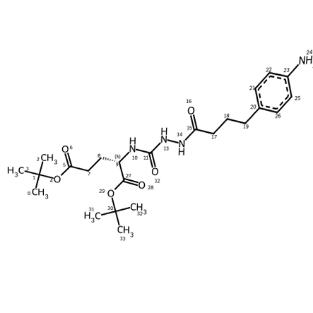 CC(C)(C)OC(=O)CC[C@H](NC(=O)NNC(=O)CCCc1ccc(N)cc1)C(=O)OC(C)(C)C